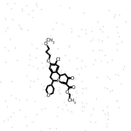 CCOC(=O)C1=CN2C(CC1=O)c1cc(Cl)c(OCCCOC)cc1CC2C1CCOCC1